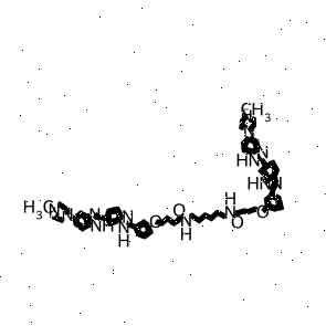 CN1CCN(c2ccc3[nH]c(-c4ccc5nc(-c6cccc(OCCCC(=O)NCCCCCCNC(=O)CCCOc7cccc(-c8nc9ccc(-c%10nc%11cc(N%12CCN(C)CC%12)ccc%11[nH]%10)cc9[nH]8)c7)c6)[nH]c5c4)nc3c2)CC1